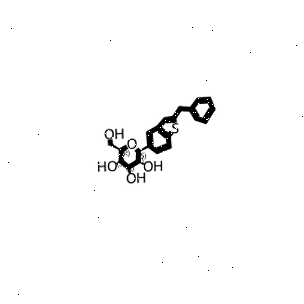 OC[C@H]1O[C@@H](c2ccc3sc(Cc4ccccc4)cc3c2)[C@H](O)[C@@H](O)[C@@H]1O